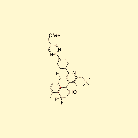 COCc1cnc(N2CCC(c3nc4c(c(C5CCC(F)(F)CC5)c3[C@@H](F)c3ccc(C)cc3)[C@@H](O)CC(C)(C)C4)CC2)nc1